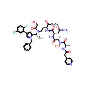 CNC(=O)[C@H](CCN(C(=O)CO)[C@@H](c1cc(-c2cc(F)ccc2F)cn1Cc1ccccc1)C(C)(C)C)NC(=O)[C@H](CC(N)=O)NC(=O)[C@H](C)N(O)C(=O)[C@H](C)NC(=O)Cc1ccncc1